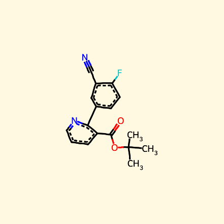 CC(C)(C)OC(=O)c1cccnc1-c1ccc(F)c(C#N)c1